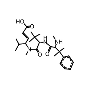 CN[C@H](C(=O)N[C@@H](C(=O)N(C)[C@H](/C=C/C(=O)O)C(C)C)C(C)(C)C)C(C)(C)c1ccccc1